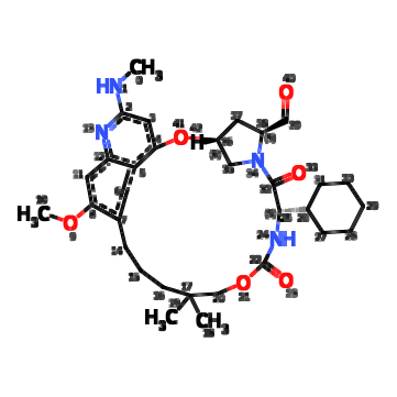 CNc1cc2c3cc(c(OC)cc3n1)CCCC(C)(C)COC(=O)N[C@@H](C1CCCCC1)C(=O)N1C[C@@H](C[C@H]1C=O)O2